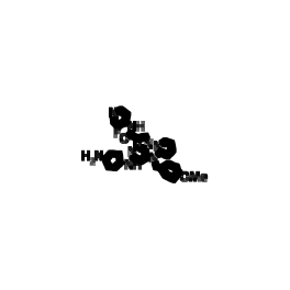 COc1ccc(CN(c2ccccn2)c2cc(N[C@H]3CC[C@H](N)CC3)nn3c(C(=O)Nc4ccncc4F)cnc23)cc1